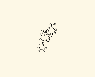 CC(SC(=O)c1cccs1)C(=O)NC1CCSC1=O